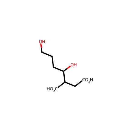 O=C(O)CC(C(=O)O)C(O)CCCO